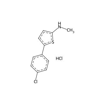 CNc1ccc(-c2ccc(Cl)cc2)s1.Cl